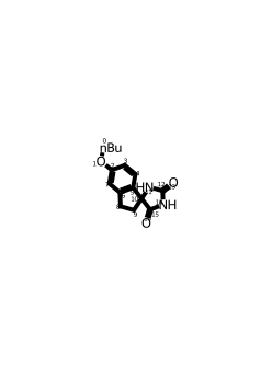 CCCCOc1ccc2c(c1)CCC21NC(=O)NC1=O